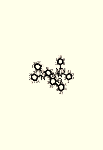 c1ccc(-c2nc(-c3ccccc3)nc(-n3c4ccc5c(nc(-c6ccccc6)n5-c5ccccc5)c4c4ccc5c6ccccc6oc5c43)n2)cc1